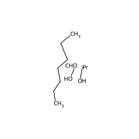 CC(C)O.CCCCCCC.O=CO